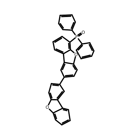 O=P(c1ccccc1)(c1ccccc1)c1cccc2c1oc1ccc(-c3ccc4oc5ccccc5c4c3)cc12